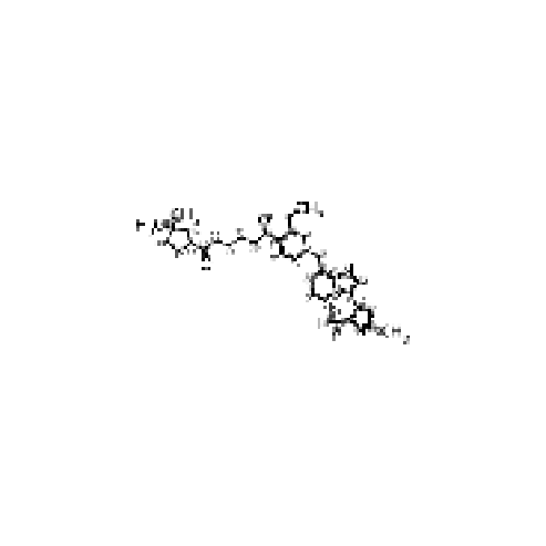 CCc1cc(Cc2nccn3c(-c4cn(C)nc4C(F)(F)F)cnc23)ccc1C(=O)CCCCC(=O)[C@H]1CCC(C)(C)C1